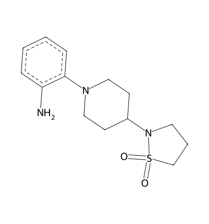 Nc1ccccc1N1CCC(N2CCCS2(=O)=O)CC1